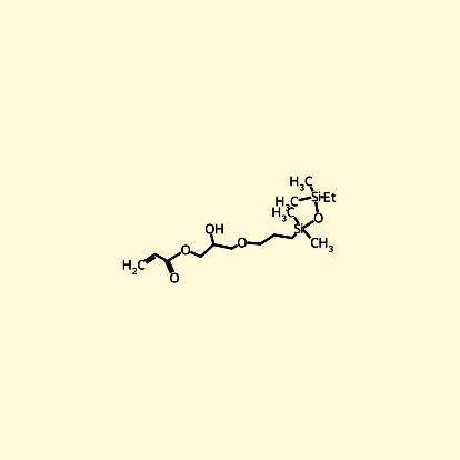 C=CC(=O)OCC(O)COCCC[Si](C)(C)O[Si](C)(C)CC